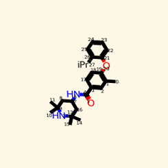 Cc1cc(C(=O)NC2CC(C)(C)NC(C)(C)C2)ccc1Oc1ccccc1C(C)C